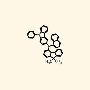 CC1(C)c2ccccc2C2C(N(c3ccc4c(c3)c3ccccc3n4-c3ccccc3)c3cccc4ccccc34)=CC=CC21